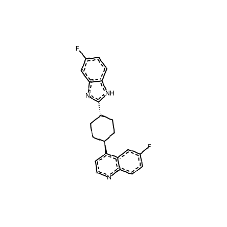 Fc1ccc2[nH]c([C@H]3CC[C@H](c4ccnc5ccc(F)cc54)CC3)nc2c1